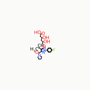 CC(C)c1c(C(=O)N2CCCC2)nn(-c2ccc(F)cc2)c1OCC(O)CC(O)CC(=O)O